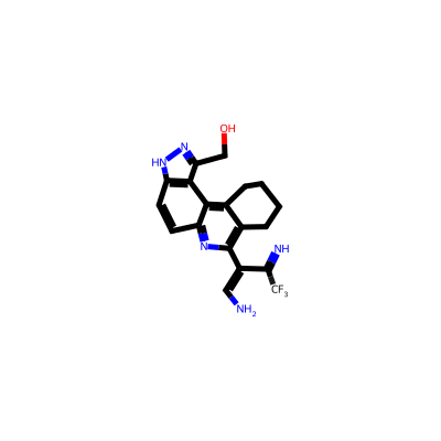 N=C(/C(=C\N)c1nc2ccc3[nH]nc(CO)c3c2c2c1CCCC2)C(F)(F)F